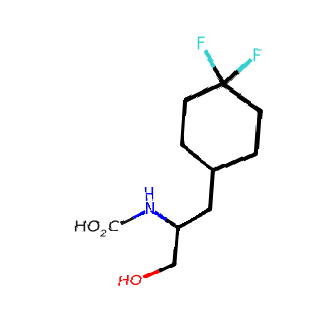 O=C(O)NC(CO)CC1CCC(F)(F)CC1